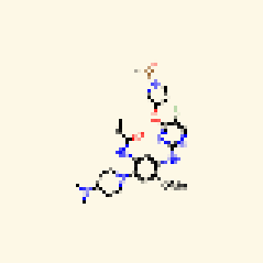 C=CC(=O)Nc1cc(Nc2ncc(F)c(O[C@@H]3CCN([S+](C)[O-])C3)n2)c(OC)cc1N1CCC(N(C)C)CC1